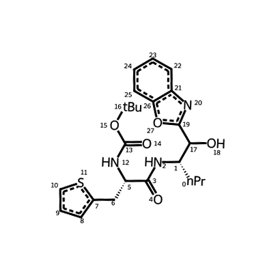 CCC[C@H](NC(=O)[C@H](Cc1cccs1)NC(=O)OC(C)(C)C)C(O)c1nc2ccccc2o1